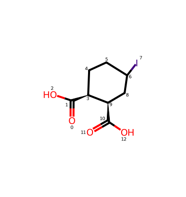 O=C(O)[C@H]1CCC(I)C[C@H]1C(=O)O